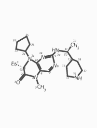 CC[C@H]1C(=O)N(C)c2cnc(N[C@@H](C)C3CCNCC3)nc2N1C1CCCC1